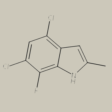 Cc1cc2c(Cl)cc(Cl)c(F)c2[nH]1